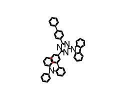 c1ccc(-c2ccc(-c3nc(-c4cccc(-c5ccccc5N(c5ccccc5)c5ccccc5)c4)nc(-n4c5ccccc5c5ccccc54)n3)cc2)cc1